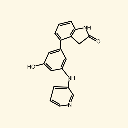 O=C1Cc2c(cccc2-c2cc(O)cc(Nc3cccnc3)c2)N1